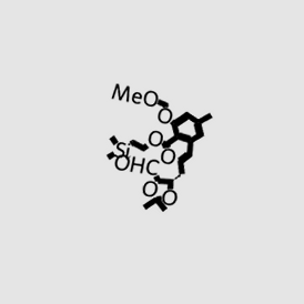 COCOc1cc(C)cc(/C=C/C[C@@H]2OC(C)(C)OC2C=O)c1C(=O)OCC[Si](C)(C)C